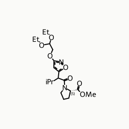 CCOC(COc1cc(C(C(=O)N2CCC[C@H]2C(=O)OC)C(C)C)on1)OCC